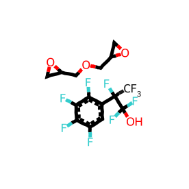 C(OCC1CO1)C1CO1.OC(F)(F)C(F)(c1cc(F)c(F)c(F)c1F)C(F)(F)F